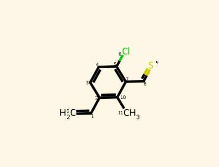 C=Cc1ccc(Cl)c(C=S)c1C